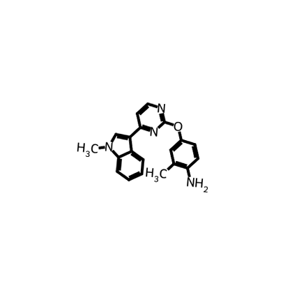 Cc1cc(Oc2nccc(-c3cn(C)c4ccccc34)n2)ccc1N